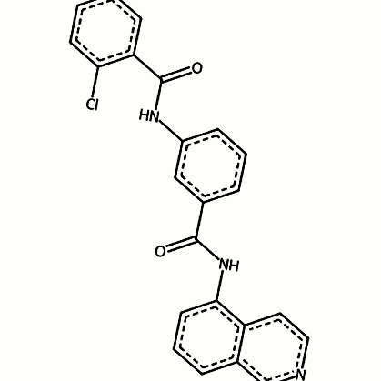 O=C(Nc1cccc2cnccc12)c1cccc(NC(=O)c2ccccc2Cl)c1